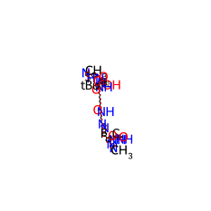 Cc1ncsc1-c1ccc(CNC(=O)[C@@H]2C[C@@H](O)CN2C(=O)[C@@H](NC(=O)CCCCCCCCCC(=O)NCCCCCN2CCN(Cc3cccc(-c4ccc(N5CCN(C)CC5)c(NC(=O)c5c[nH]c(=O)cc5C(F)(F)F)c4)c3)CC2)C(C)(C)C)cc1